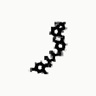 Cc1cc(F)ccc1NC(=O)CC(=O)Nc1ccc(Oc2ccnc3[nH]ccc23)c(F)c1